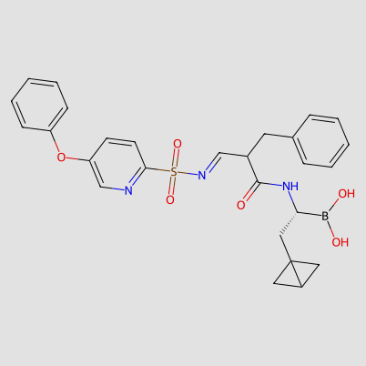 O=C(N[C@@H](CC12CC1C2)B(O)O)C(/C=N/S(=O)(=O)c1ccc(Oc2ccccc2)cn1)Cc1ccccc1